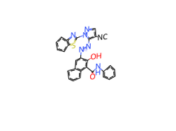 [C-]#[N+]c1cnn(-c2nc3ccccc3s2)c1/N=N/c1cc2ccccc2c(C(=O)Nc2ccccc2)c1O